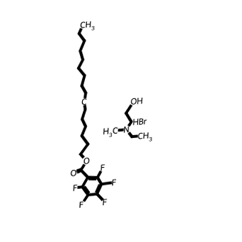 Br.CCCCCCCCCCCCCCCCOC(=O)c1c(F)c(F)c(F)c(F)c1F.CCN(C)CCO